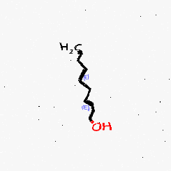 C=CC/C=C/C/C=C/CO